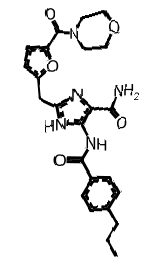 CCCc1ccc(C(=O)Nc2[nH]c(Cc3ccc(C(=O)N4CCOCC4)o3)nc2C(N)=O)cc1